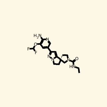 CCNC(=O)N1CC[C@@]2(CCn3nc(-c4cnc(N)c(OC(F)F)c4)cc32)C1